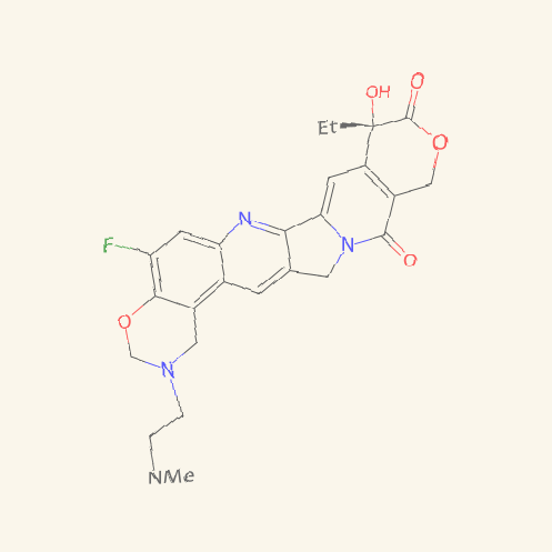 CC[C@@]1(O)C(=O)OCc2c1cc1n(c2=O)Cc2cc3c4c(c(F)cc3nc2-1)OCN(CCNC)C4